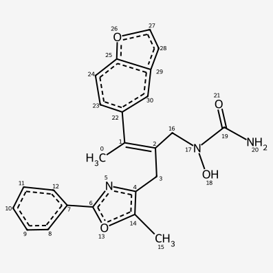 CC(=C(Cc1nc(-c2ccccc2)oc1C)CN(O)C(N)=O)c1ccc2occc2c1